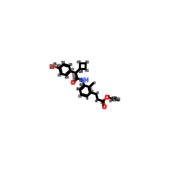 Cc1c(CCC(=O)OC(C)(C)C)cccc1NC(=O)C(c1ccc(Br)cc1)C1CCC1